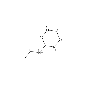 CCNC1COCC[N]1